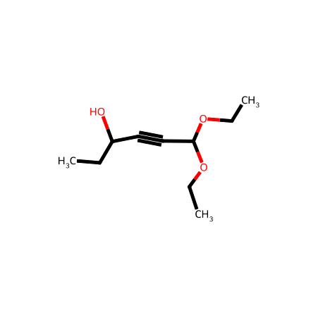 CCOC(C#CC(O)CC)OCC